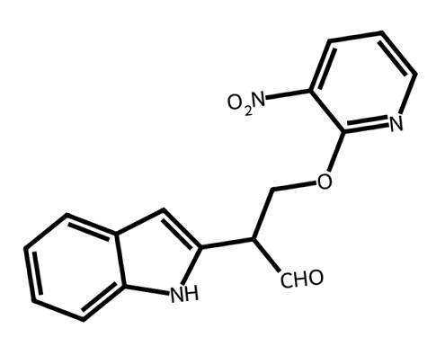 O=CC(COc1ncccc1[N+](=O)[O-])c1cc2ccccc2[nH]1